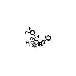 CN1C(C(=O)Nc2ccc(F)c(Cl)c2)CC(c2cc(-c3ccccn3)cs2)NS1(=O)=O